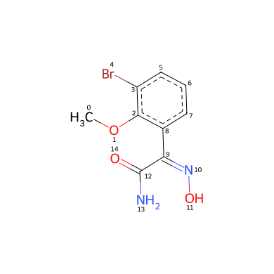 COc1c(Br)cccc1C(=NO)C(N)=O